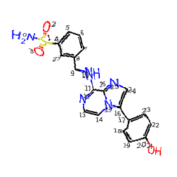 NS(=O)(=O)c1cccc(CNc2nccn3c(-c4ccc(O)cc4)cnc23)c1